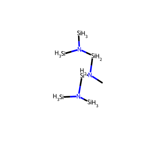 CN([SiH2]N([SiH3])[SiH3])[SiH2]N([SiH3])[SiH3]